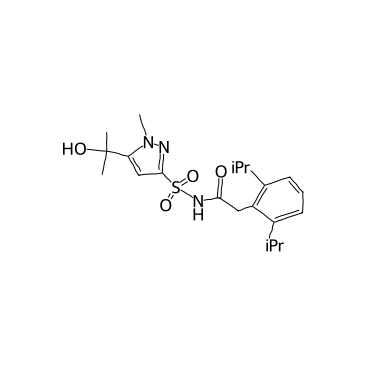 CC(C)c1cccc(C(C)C)c1CC(=O)NS(=O)(=O)c1cc(C(C)(C)O)n(C)n1